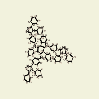 c1ccc(-c2nnc(-c3ccc(-n4c5ccccc5c5c4c4c6ccccc6n(-c6ccc(-c7nnc(-c8ccccc8)n7-c7ccccc7)cc6)c4c4c6ccccc6n(-c6ccc(-c7nnc(-c8ccccc8)n7-c7ccccc7)cc6)c54)cc3)n2-c2ccccc2)cc1